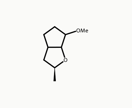 COC1CCC2C[C@H](C)OC21